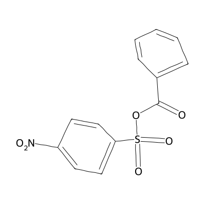 O=C(OS(=O)(=O)c1ccc([N+](=O)[O-])cc1)c1ccccc1